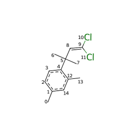 Cc1ccc(C(C)(C)C=C(Cl)Cl)c(C)c1